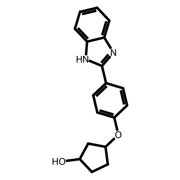 OC1CCC(Oc2ccc(-c3nc4ccccc4[nH]3)cc2)C1